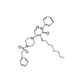 CCCCCCCSc1c(N2CCN(S(=O)(=O)Cc3ccccc3)CC2)cnn(-c2ccccc2)c1=O